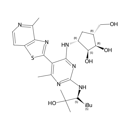 CC[C@H](C)[C@H](Nc1nc(C)c(-c2nc3c(C)nccc3s2)c(N[C@@H]2C[C@H](CO)[C@@H](O)[C@H]2O)n1)C(C)(C)O